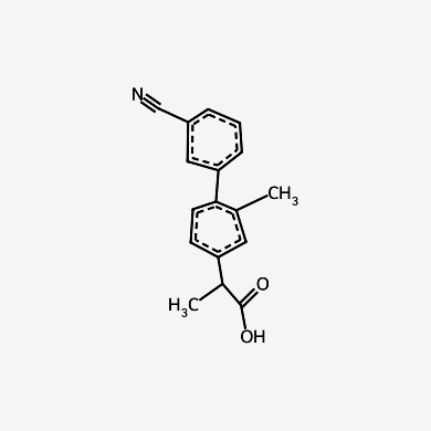 Cc1cc(C(C)C(=O)O)ccc1-c1cccc(C#N)c1